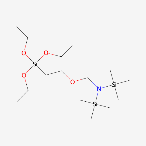 CCO[Si](CCOCN([Si](C)(C)C)[Si](C)(C)C)(OCC)OCC